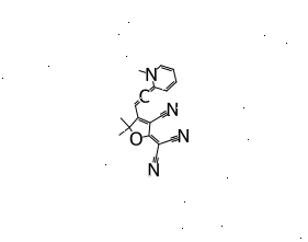 CN1C=CC=CC1=C=CC1=C(C#N)C(=C(C#N)C#N)OC1(C)C